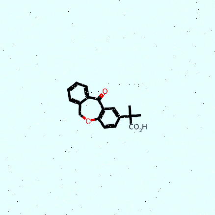 CC(C)(C(=O)O)c1ccc2c(c1)C(=O)c1ccccc1CO2